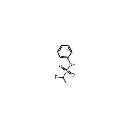 O=S(=O)(Nc1ccccc1)C(F)F